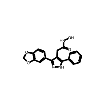 O=C(Cc1c(-c2ccc3c(c2)OCO3)n[nH]c1-c1ccccc1)NO